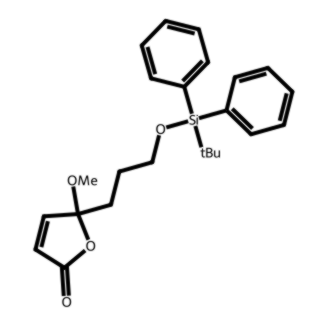 COC1(CCCO[Si](c2ccccc2)(c2ccccc2)C(C)(C)C)C=CC(=O)O1